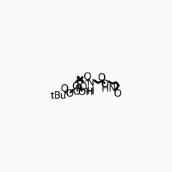 CC(C)(C)C(=O)OCO[PH]1(O)OCC(C)(C)[C@H](C(=O)NCCC(=O)OCC2CCC(=O)N2)O1